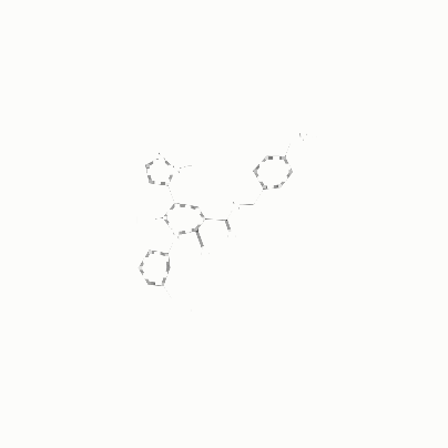 CSc1ccc(CNC(=O)c2cc(-c3ccnn3C)c(C)n(-c3cccc(C(F)(F)F)c3)c2=O)cc1